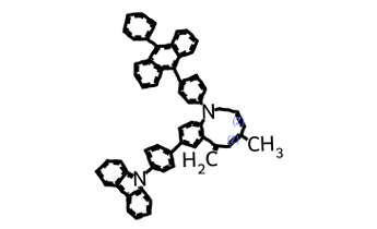 C=C1/C=C(C)\C=C/CN(c2ccc(-c3c4ccccc4c(-c4ccccc4)c4ccccc34)cc2)c2ccc(-c3ccc(-n4c5ccccc5c5ccccc54)cc3)cc21